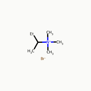 CCC(C)[N+](C)(C)C.[Br-]